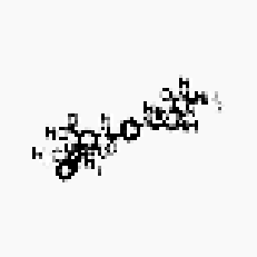 CC1(C)C2CCC1(C)C(OC(=O)C(CC(NC(=O)c1ccc(NCC3CNc4nc(N)[nH]c(=O)c4N3)cc1)C(=O)O)C(=O)O)C2